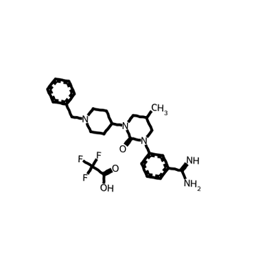 CC1CN(c2cccc(C(=N)N)c2)C(=O)N(C2CCN(Cc3ccccc3)CC2)C1.O=C(O)C(F)(F)F